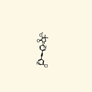 CO[C@@H]1C(=O)N(c2ccc(C#Cc3cncc(Cl)c3)cn2)CC1(C)C